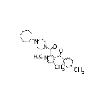 Cc1ccc(C(=O)c2c(C)cn(C)c2C(=O)N2CCN(C3CCCCCC3)CC2)cc1